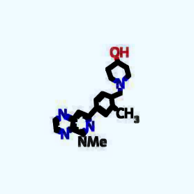 CNc1nc(C2=CC(C)C(CN3CCC(O)CC3)C=C2)cc2nccnc12